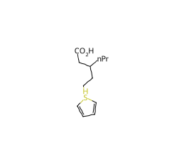 CCCC(CC[SH]1C=CC=C1)CC(=O)O